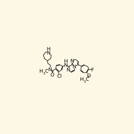 COC1=C(F)CC=C(C2=CCN=C3C(Nc4ccc(C(=O)N(C)CCC5CCCNCC5)c(Cl)c4)=NC=CN23)C=C1